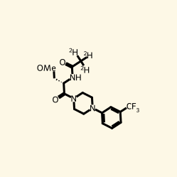 [2H]C([2H])([2H])C(=O)N[C@@H](COC)C(=O)N1CCN(c2cccc(C(F)(F)F)c2)CC1